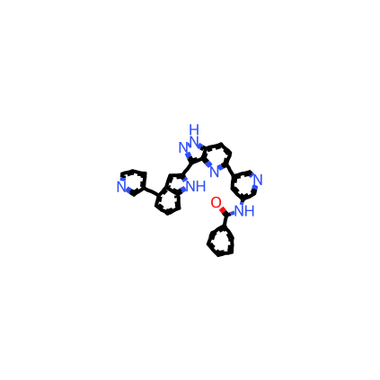 O=C(Nc1cncc(-c2ccc3[nH]nc(-c4cc5c(-c6cccnc6)cccc5[nH]4)c3n2)c1)c1ccccc1